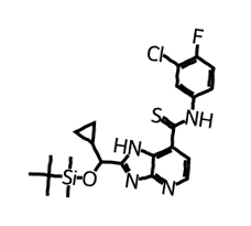 CC(C)(C)[Si](C)(C)OC(c1nc2nccc(C(=S)Nc3ccc(F)c(Cl)c3)c2[nH]1)C1CC1